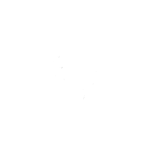 Cc1cc(C(=O)O)c2cnn(-c3ccc(F)cc3)c2c1.Cc1ccc(CNS(N)(=O)=O)cc1